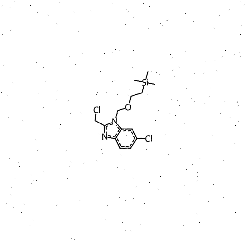 C[Si](C)(C)CCOCn1c(CCl)nc2ccc(Cl)cc21